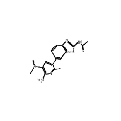 CC(=O)Nc1nc2ccc(-c3cc(N(C)C)c(N)nc3C)cc2s1